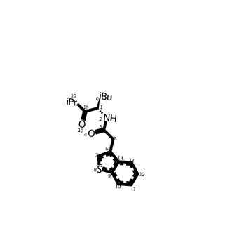 CC[C@H](C)[C@H](NC(=O)Cc1csc2ccccc12)C(=O)C(C)C